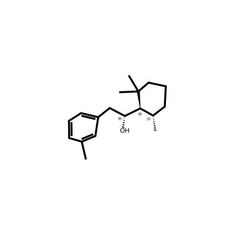 Cc1cccc(C[C@@H](O)[C@@H]2[C@@H](C)CCCC2(C)C)c1